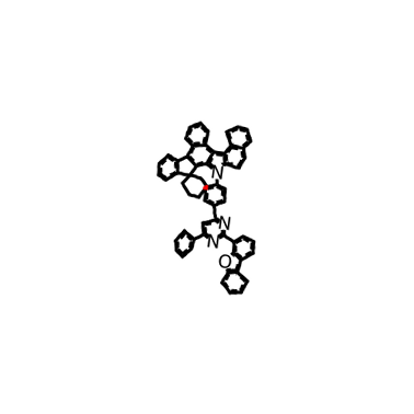 c1ccc(-c2cc(-c3ccc(-n4c5ccc6ccccc6c5c5c6ccccc6c6c(c54)C4(CCCCC4)c4ccccc4-6)cc3)nc(-c3cccc4c3oc3ccccc34)n2)cc1